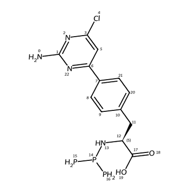 Nc1nc(Cl)cc(-c2ccc(C[C@H](NP(P)P)C(=O)O)cc2)n1